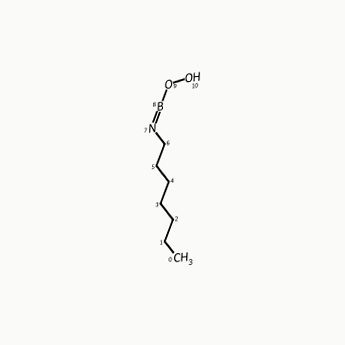 CCCCCCC/N=B/OO